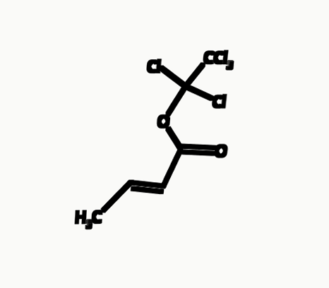 C/C=C/C(=O)OC(Cl)(Cl)C(Cl)(Cl)Cl